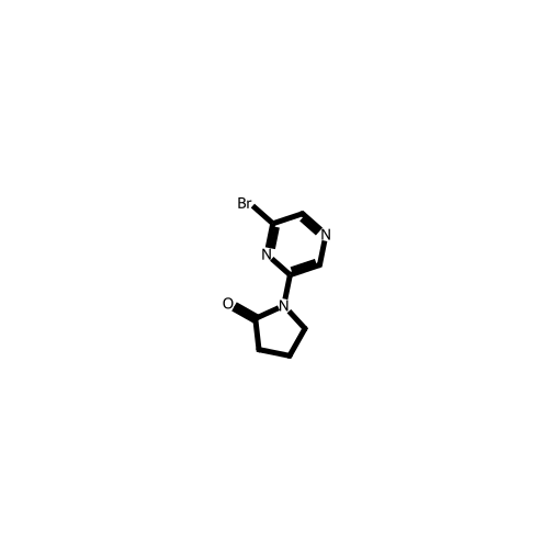 O=C1CCCN1c1cncc(Br)n1